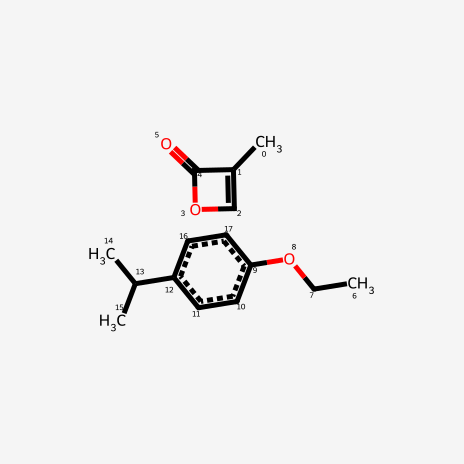 CC1=COC1=O.CCOc1ccc(C(C)C)cc1